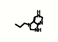 CCCN1CNC2=NCNC=C21